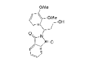 COc1cccc(C(CCO)N2C(=O)c3ccccc3C2=O)c1OC